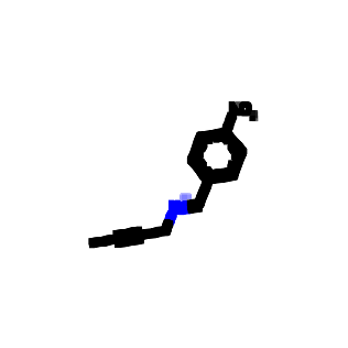 CC#CC/N=C/c1ccc([N+](=O)[O-])cc1